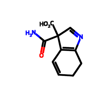 NC(=O)C1(C(=O)O)C=NC2=C1C=CCC2